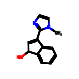 Cn1ccnc1C1=CC(O)c2ccccc21